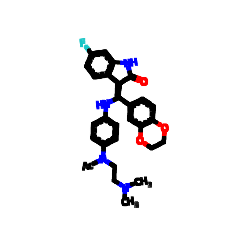 CC(=O)N(CCN(C)C)c1ccc(NC(=C2C(=O)Nc3cc(F)ccc32)c2ccc3c(c2)OCCO3)cc1